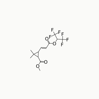 COC(=O)C1C(/C=C/C(=O)OC(C(F)(F)F)C(F)(F)F)C1(C)C